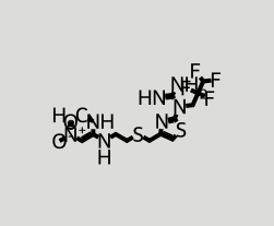 CNC(=C[N+](=O)[O-])NCCSCc1csc(N(CC(F)(F)C(F)F)C(=N)N)n1